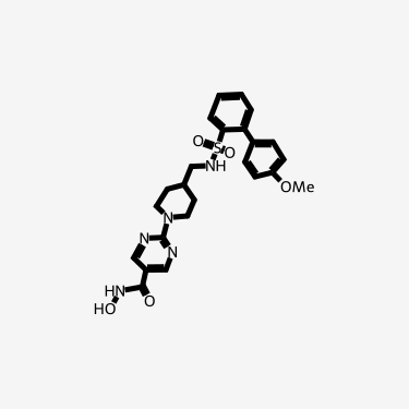 COc1ccc(-c2ccccc2S(=O)(=O)NCC2CCN(c3ncc(C(=O)NO)cn3)CC2)cc1